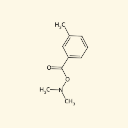 Cc1cccc(C(=O)ON(C)C)c1